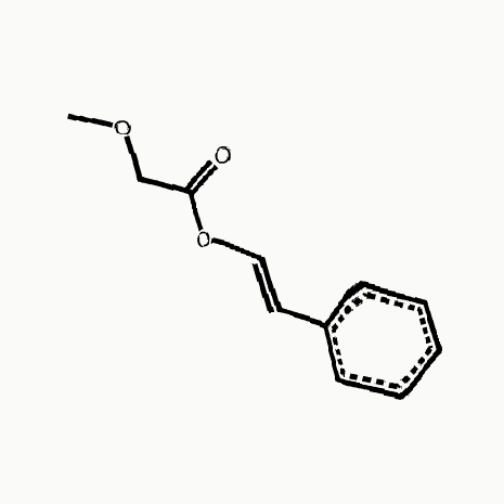 COCC(=O)OC=Cc1ccccc1